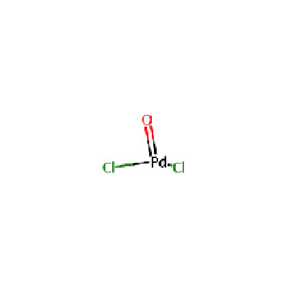 [O]=[Pd]([Cl])[Cl]